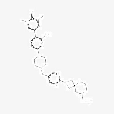 CCc1nc(N2CCN(Cc3cnc(N4CC5(CN(C(=O)O)CCO5)C4)nc3)CC2)ccc1-c1cc(C)c(=O)n(C)c1